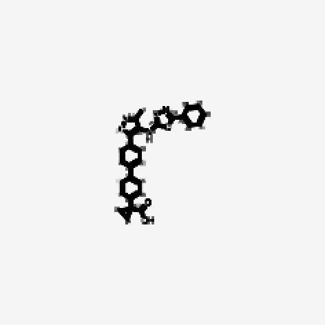 Cc1noc(-c2ccc(-c3ccc(C4(C(=O)O)CC4)cc3)cc2)c1Nc1nnc(-c2ccccc2)o1